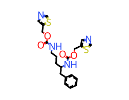 O=C(NCCCC(Cc1ccccc1)NC(=O)OCc1cncs1)OCc1cncs1